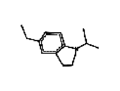 CCc1ccc2c(c1)CCN2C(C)C